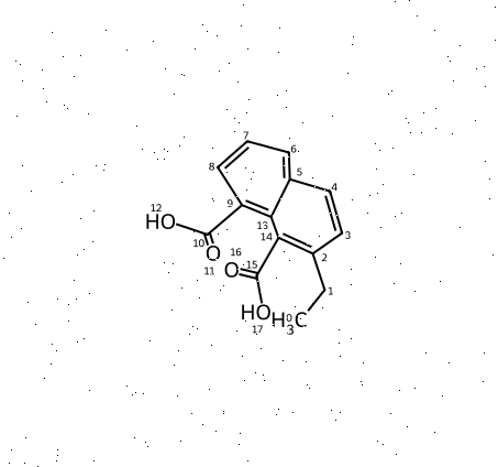 CCc1ccc2cccc(C(=O)O)c2c1C(=O)O